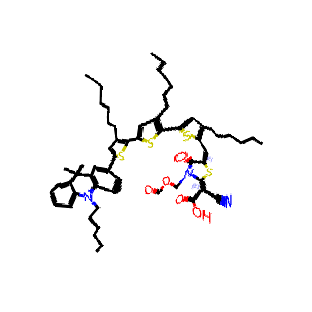 CCCCCCc1cc(-c2sc(-c3sc(-c4ccc5c(c4)C(C)(C)c4ccccc4N5CCCCCC)cc3CCCCCC)cc2CCCCCC)sc1/C=c1/s/c(=C(\C#N)C(=O)O)n(COC=O)c1=O